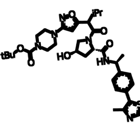 Cc1ncsc1-c1ccc([C@H](C)NC(=O)[C@@H]2C[C@@H](O)CN2C(=O)C(c2cc(N3CCN(C(=O)OC(C)(C)C)CC3)no2)C(C)C)cc1